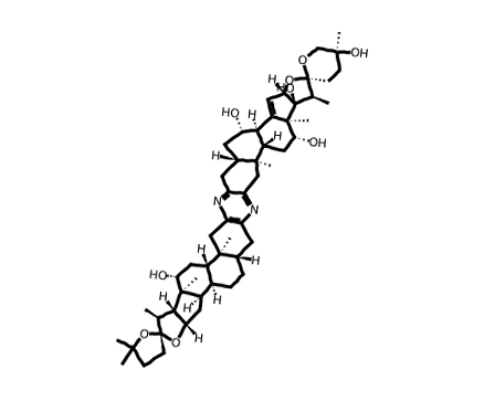 C[C@@H]1[C@@]2(CC[C@](C)(O)CO2)O[C@H]2C=C3[C@@H]4[C@@H](O)C[C@H]5Cc6nc7c(nc6C[C@]5(C)[C@H]4C[C@@H](O)[C@]3(C)[C@]21O)C[C@@H]1CC[C@H]2[C@H]3C[C@@H]4O[C@@]5(CCC(C)(C)O5)[C@@H](C)[C@@H]4[C@@]3(C)[C@H](O)C[C@@H]2[C@@]1(C)C7